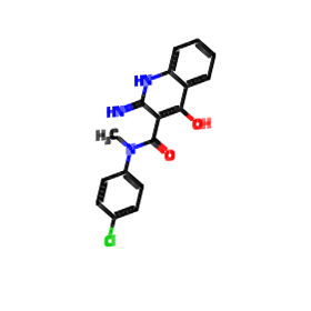 CN(C(=O)c1c(O)c2ccccc2[nH]c1=N)c1ccc(Cl)cc1